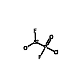 O=P(F)(Cl)[S+]([O-])F